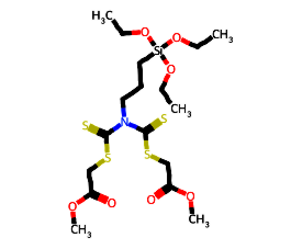 CCO[Si](CCCN(C(=S)SCC(=O)OC)C(=S)SCC(=O)OC)(OCC)OCC